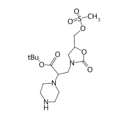 CC(C)(C)OC(=O)C(CN1CC(COS(C)(=O)=O)OC1=O)N1CCNCC1